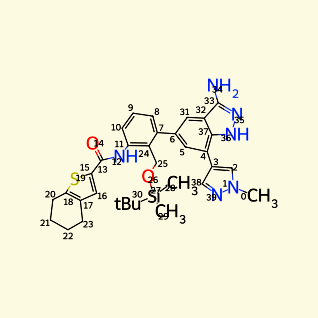 Cn1cc(-c2cc(-c3cccc(NC(=O)c4cc5c(s4)CCCC5)c3CO[Si](C)(C)C(C)(C)C)cc3c(N)n[nH]c23)cn1